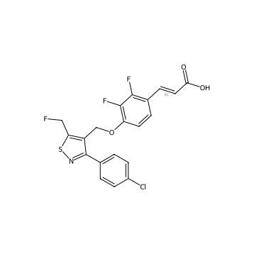 O=C(O)/C=C/c1ccc(OCc2c(-c3ccc(Cl)cc3)nsc2CF)c(F)c1F